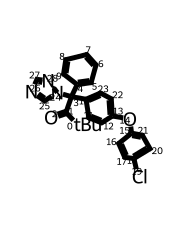 CC(C)(C)C(=O)C(c1ccccc1)(c1ccc(Oc2ccc(Cl)cc2)cc1)n1cncn1